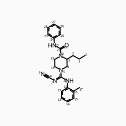 CCCC1CN(/C(=N\C#N)Nc2ccccc2C)CCN1C(=O)Nc1ccccc1